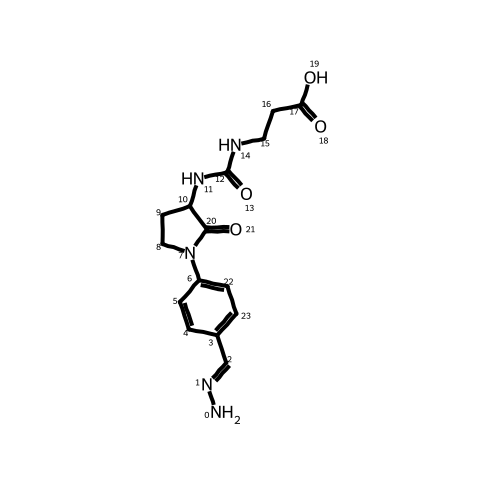 NN=Cc1ccc(N2CCC(NC(=O)NCCC(=O)O)C2=O)cc1